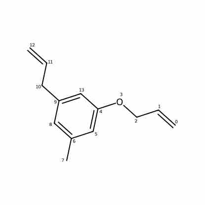 C=CCOc1cc(C)cc(CC=C)c1